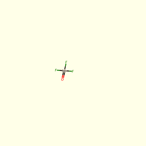 [O]=[Nb]([F])([F])[F]